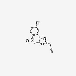 C#CCn1cc2c(n1)-c1cc(Cl)ccc1[S+]([O-])C2